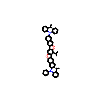 CC(C)c1ccccc1N(c1ccccc1)c1ccc2cc3c(cc2c1)oc1c(C(C)C)c2c(cc13)oc1cc3cc(N(c4ccccc4)c4ccccc4C(C)C)ccc3cc12